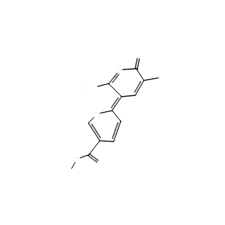 CCCCNC(=O)C1=CNC(=C2C=C(CC)C(=O)N=C2C)C=C1